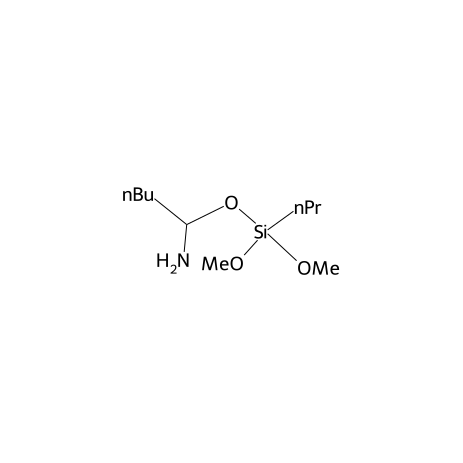 CCCCC(N)O[Si](CCC)(OC)OC